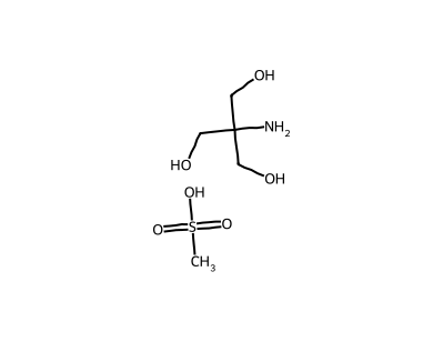 CS(=O)(=O)O.NC(CO)(CO)CO